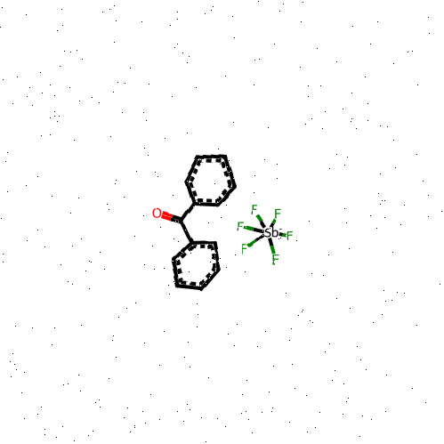 O=C(c1ccccc1)c1ccccc1.[F][Sb-]([F])([F])([F])([F])[F]